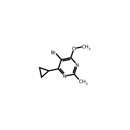 COc1nc(C)nc(C2CC2)c1Br